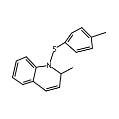 Cc1ccc(SN2c3ccccc3C=CC2C)cc1